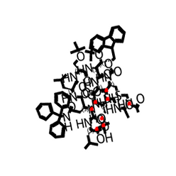 CC(=O)NCSC[C@H](NC(=O)OCC1c2ccccc2-c2ccccc21)C(=O)N[C@@H](COC(C)(C)C)C(=O)N[C@@H](CC(=O)NC(c1ccccc1)(c1ccccc1)c1ccccc1)C(=O)N[C@@H](CC(C)C)C(=O)N[C@@H](COC(C)(C)C)C(=O)N[C@H](C(=O)N[C@@H](CSCNC(C)=O)C(=O)NCC(=O)N[C@@H](CC(C)C)C(=O)O)[C@@H](C)OC(C)(C)C